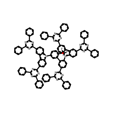 FC(F)(F)c1ccc(-n2c3ccc(-c4nc(-c5ccccc5)nc(-c5ccccc5)n4)cc3c3cc(-c4nc(-c5ccccc5)nc(-c5ccccc5)n4)ccc32)cc1-c1cc(-c2nc(-c3ccccc3)nc(-c3ccccc3)n2)ccc1-n1c2ccc(-c3nc(-c4ccccc4)nc(-c4ccccc4)n3)cc2c2cc(-c3nc(-c4ccccc4)nc(-c4ccccc4)n3)ccc21